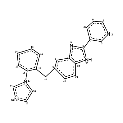 c1cncc(-c2nc3cc(Cc4ccccc4-n4ccnc4)ccc3[nH]2)c1